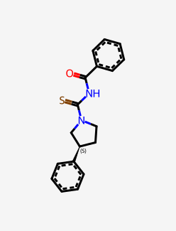 O=C(NC(=S)N1CC[C@@H](c2ccccc2)C1)c1ccccc1